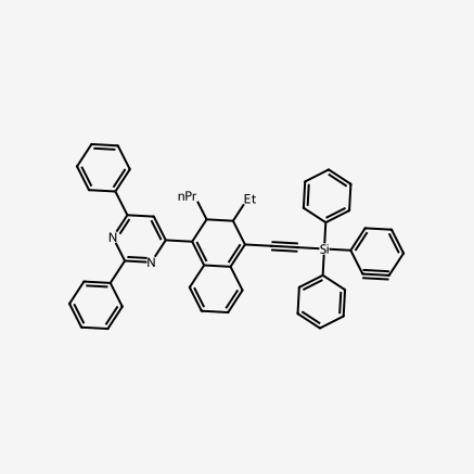 CCCC1C(c2cc(-c3ccccc3)nc(-c3ccccc3)n2)=c2ccccc2=C(C#C[Si](c2c#cccc2)(c2ccccc2)c2ccccc2)C1CC